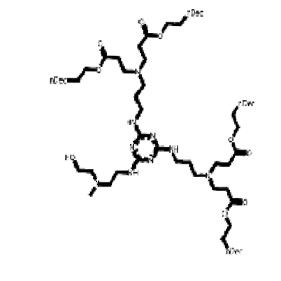 CCCCCCCCCCCCOC(=O)CCN(CCCNc1nc(NCCCN(CCC(=O)OCCCCCCCCCCCC)CCC(=O)OCCCCCCCCCCCC)nc(NCCN(C)CCO)n1)CCC(=O)OCCCCCCCCCCCC